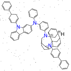 C1=C[C@@H]2C[C@@]3(C1)N(c1cccc(N(c4ccccc4)c4ccc5c6ccccc6n(C6=CCC(c7ccccc7)C=C6)c5c4)c1)C1CCC4=C(C1)N(C1C=CC(c5ccccc5)=CC1)C31CC2C=CC41